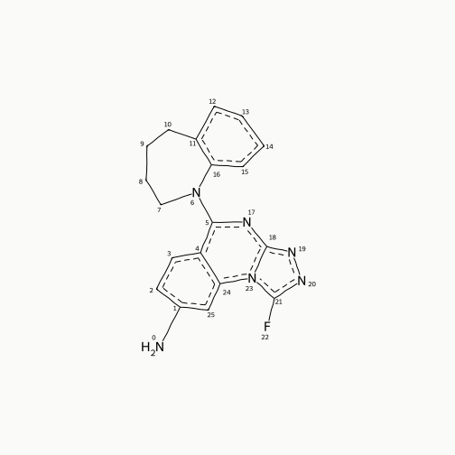 Nc1ccc2c(N3CCCCc4ccccc43)nc3nnc(F)n3c2c1